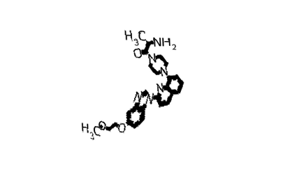 COCCOc1ccc2c(c1)ncn2-c1ccc2cccc(N3CCN(C(=O)[C@H](C)N)CC3)c2n1